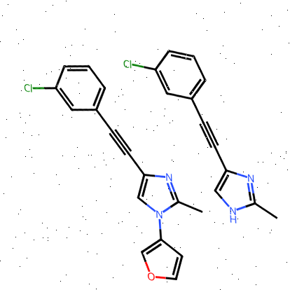 Cc1nc(C#Cc2cccc(Cl)c2)c[nH]1.Cc1nc(C#Cc2cccc(Cl)c2)cn1-c1ccoc1